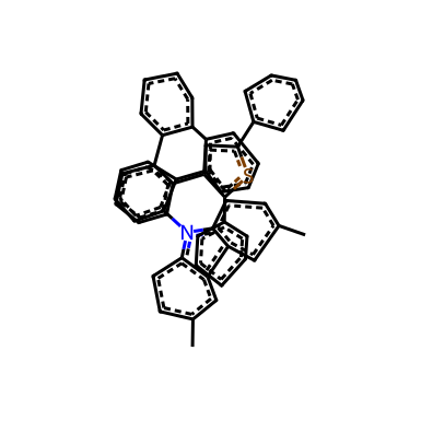 Cc1ccc2c(c1)c1cc(C)ccc1n2-c1ccccc1-c1ccccc1-c1ccccc1-c1ccccc1-c1cc(-c2ccccc2)sc1-c1ccccc1